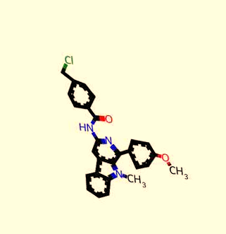 COc1ccc(-c2nc(NC(=O)c3ccc(CCl)cc3)cc3c4ccccc4n(C)c23)cc1